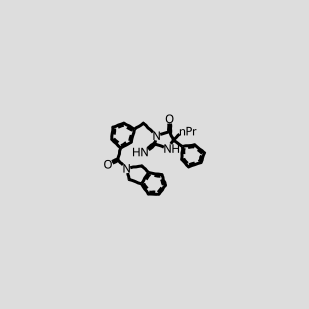 CCCC1(c2ccccc2)NC(=N)N(Cc2cccc(C(=O)N3Cc4ccccc4C3)c2)C1=O